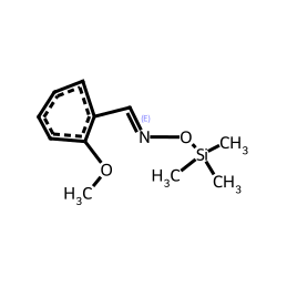 COc1ccccc1/C=N/O[Si](C)(C)C